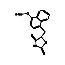 CCCCCCOc1ccc(CC2SC(=O)NC2=O)c2ccccc12